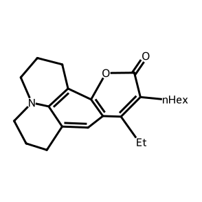 CCCCCCc1c(CC)c2cc3c4c(c2oc1=O)CCCN4CCC3